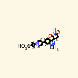 Cn1nc(C2CCC(=O)NC2=O)c2ccc(C3CCN(C4CC(C(=O)O)C4)CC3)cc21